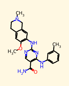 COc1cc2c(cc1Nc1ncc(C(N)=O)c(Nc3cccc(C)c3)n1)CN(C)CC2